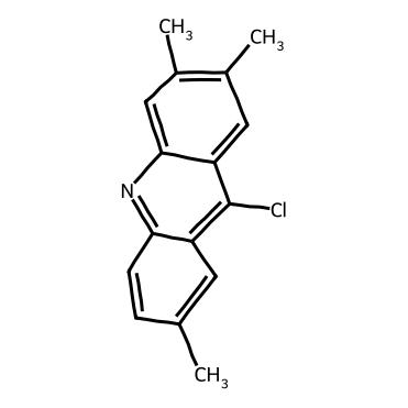 Cc1ccc2nc3cc(C)c(C)cc3c(Cl)c2c1